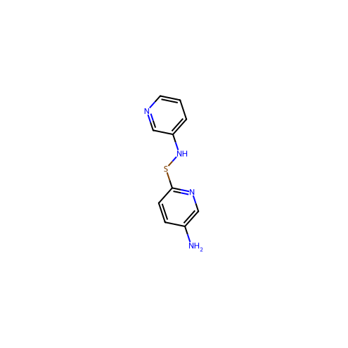 Nc1ccc(SNc2cccnc2)nc1